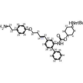 CC(C)(C)NC1CCC(OC(=O)Nc2cc(/C=C/CCOc3ccc(CCN)cc3)ccc2-c2ccccc2)CC1